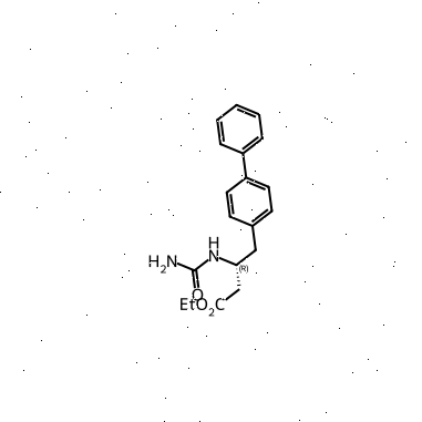 CCOC(=O)C[C@@H](Cc1ccc(-c2ccccc2)cc1)NC(N)=O